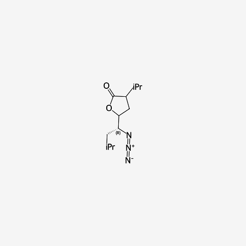 CC(C)C[C@@H](N=[N+]=[N-])C1CC(C(C)C)C(=O)O1